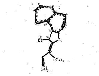 C=C/C(C)=C1/Oc2ccc3ccccc3c2C1CC